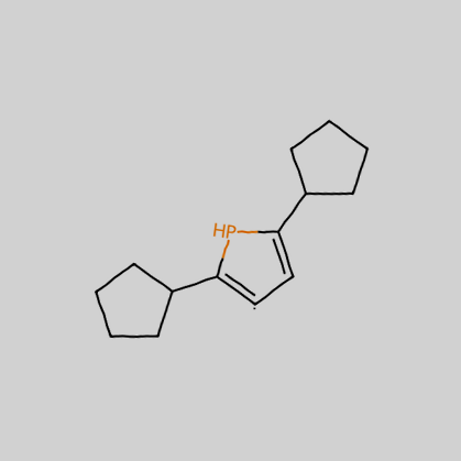 [c]1cc(C2CCCC2)[pH]c1C1CCCC1